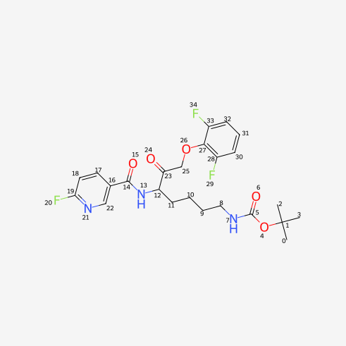 CC(C)(C)OC(=O)NCCCCC(NC(=O)c1ccc(F)nc1)C(=O)COc1c(F)cccc1F